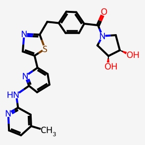 Cc1ccnc(Nc2cccc(-c3cnc(Cc4ccc(C(=O)N5C[C@@H](O)[C@@H](O)C5)cc4)s3)n2)c1